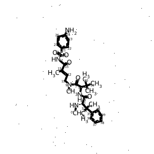 CN[C@H](C(=O)NC(C(=O)N(C)C/C=C(\C)C(=O)NS(=O)(=O)c1ccc(N)cc1)C(C)(C)C)C(C)(C)c1ccccc1